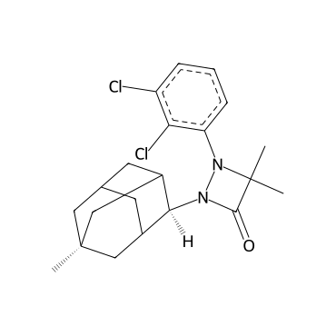 CC1(C)C(=O)N([C@H]2C3CC4CC2C[C@](C)(C4)C3)N1c1cccc(Cl)c1Cl